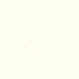 CC(=S)OC=Cn1nnnc1C